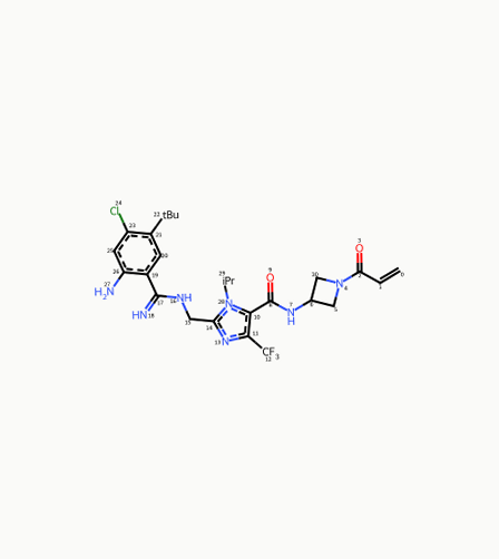 C=CC(=O)N1CC(NC(=O)c2c(C(F)(F)F)nc(CNC(=N)c3cc(C(C)(C)C)c(Cl)cc3N)n2C(C)C)C1